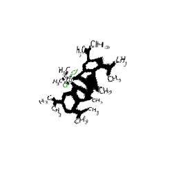 CCC1=CC2=C(CC(C(C)C)CC2C(C)C)[CH]1[Zr]([Cl])([Cl])([CH]1C(CC)=CC2=C1CC(C(C)C)CC2C(C)C)[SiH](C)C